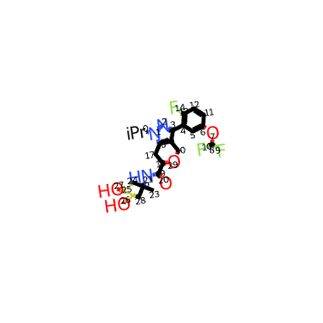 CC(C)n1nc(-c2cc(OC(F)F)ccc2F)c2c1CC(C(=O)NC1(C)CS(O)(O)C1)OC2